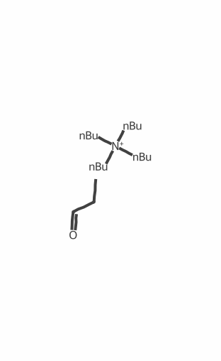 CCC=O.CCCC[N+](CCCC)(CCCC)CCCC